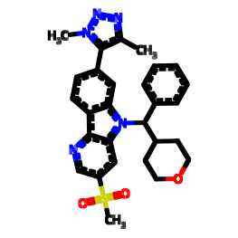 Cc1nnn(C)c1-c1ccc2c3ncc(S(C)(=O)=O)cc3n(C(c3ccccc3)C3CCOCC3)c2c1